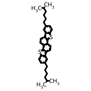 CC(C)CCCCc1ccc2sc3c(ccc4c3ccc3c5cc(CCCCC(C)C)ccc5sc34)c2c1